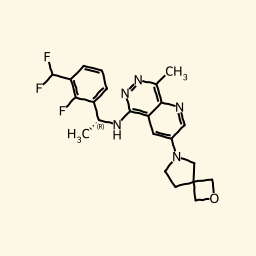 Cc1nnc(N[C@H](C)c2cccc(C(F)F)c2F)c2cc(N3CCC4(COC4)C3)cnc12